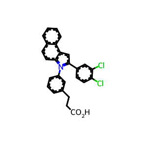 O=C(O)CCc1cccc(-n2c(-c3ccc(Cl)c(Cl)c3)cc3c4ccccc4ccc32)c1